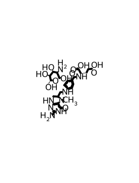 CN1c2c(nc(N)[nH]c2=O)NCC1CNc1ccc(C(=O)N[C@@H](CCC(=O)O)C(=O)O)cc1.N[C@H]1C(O)O[C@H](CO)[C@@H](O)[C@@H]1O